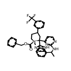 CC(Nc1nccc(C2(c3ncc[nH]3)CC(c3cccc(C(F)(F)F)c3)CC[N+]2(C)C(=O)OCc2ccccc2)n1)c1ccccc1